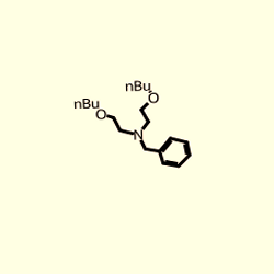 CCCCOCCN(CCOCCCC)Cc1ccccc1